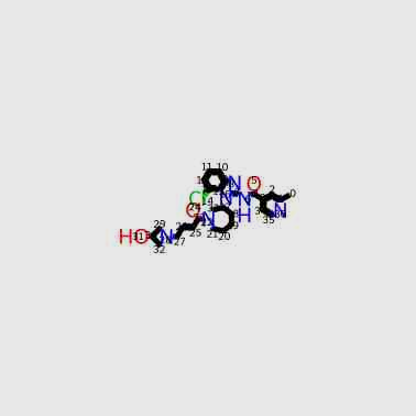 Cc1cc(C(=O)Nc2nc3cccc(Cl)c3n2[C@@H]2CCCCN(C(=O)C=CCN3CC(O)C3)C2)ccn1